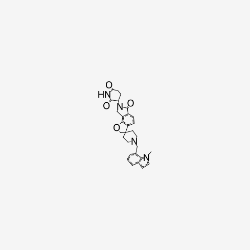 Cn1ccc2cccc(CN3CCC4(CC3)COc3c4ccc4c3CN(C3CCC(=O)NC3=O)C4=O)c21